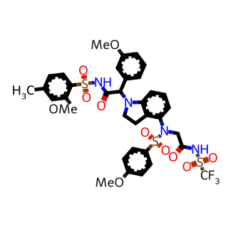 COc1ccc(S(=O)(=O)N(CC(=O)NS(=O)(=O)C(F)(F)F)c2cccc3c2CCN3C(C(=O)NS(=O)(=O)c2ccc(C)cc2OC)c2cccc(OC)c2)cc1